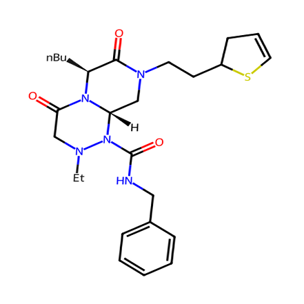 CCCC[C@H]1C(=O)N(CCC2CC=CS2)C[C@H]2N1C(=O)CN(CC)N2C(=O)NCc1ccccc1